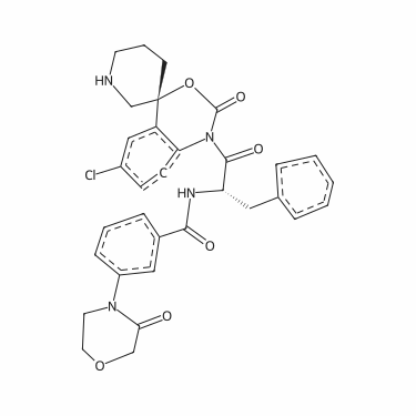 O=C(N[C@@H](Cc1ccccc1)C(=O)N1C(=O)O[C@]2(CCCNC2)c2cc(Cl)ccc21)c1cccc(N2CCOCC2=O)c1